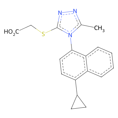 Cc1nnc(SCC(=O)O)n1-c1ccc(C2CC2)c2ccccc12